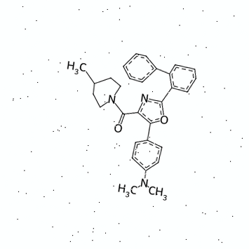 CC1CCN(C(=O)c2nc(-c3ccccc3-c3ccccc3)oc2-c2ccc(N(C)C)cc2)CC1